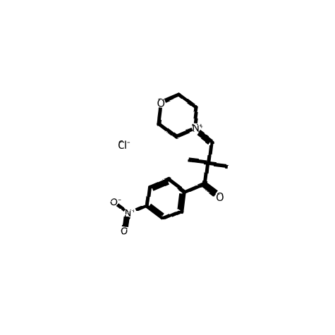 CC(C)(C=[N+]1CCOCC1)C(=O)c1ccc([N+](=O)[O-])cc1.[Cl-]